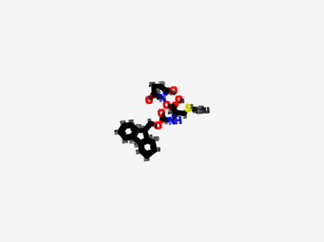 CC(C)(C)SCC(NC(=O)OCC1c2ccccc2-c2ccccc21)C(=O)ON1C(=O)CCC1=O